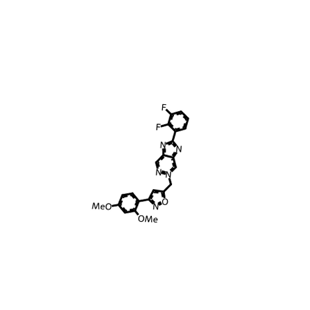 COc1ccc(-c2cc(Cn3cc4nc(-c5cccc(F)c5F)nc-4cn3)on2)c(OC)c1